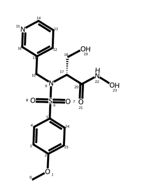 COc1ccc(S(=O)(=O)N(Cc2cccnc2)[C@H](CO)C(=O)NO)cc1